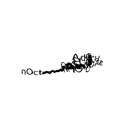 CCCCCCCCC=CCCCCCCCC(=O)Nc1ccc(SC(=O)CCNC(=O)C(OC(C)=O)C(C)(C)COC(C)=O)cc1